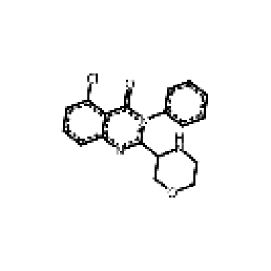 O=c1c2c(Cl)cccc2nc(C2COCCN2)n1-c1ccccc1